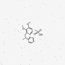 COc1cccc(CC(C)c2ccccc2)c1OC.CS(=O)(=O)O